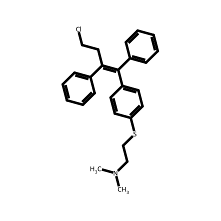 CN(C)CCSc1ccc(C(=C(CCCl)c2ccccc2)c2ccccc2)cc1